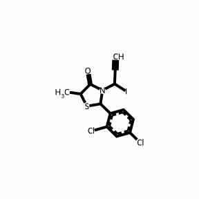 C#CC(I)N1C(=O)C(C)SC1c1ccc(Cl)cc1Cl